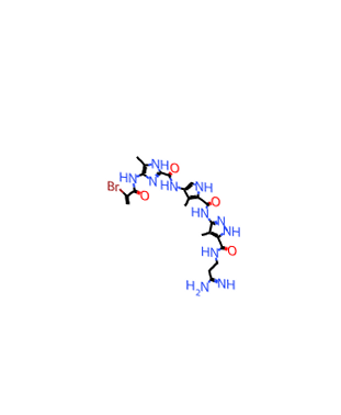 C=C(Br)C(=O)Nc1nc(C(=O)Nc2c[nH]c(C(=O)Nc3n[nH]c(C(=O)NCCC(=N)N)c3C)c2C)[nH]c1C